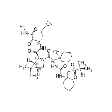 CCNC(=O)C(=O)[C@H](CCC1CC1)NC(=O)[C@@H]1[C@@H]2[C@H](CN1C(=O)[C@@H](NC(=O)NC1(CS(=O)(=O)C(C)(C)CC)CCCCC1)C1(C)CCCCC1)C2(C)C